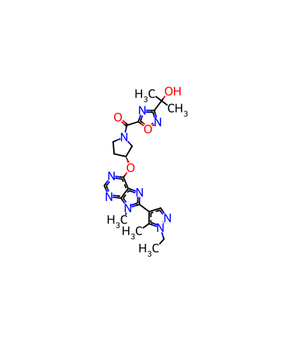 CCn1ncc(-c2nc3c(O[C@H]4CCN(C(=O)c5nc(C(C)(C)O)no5)C4)ncnc3n2C)c1C